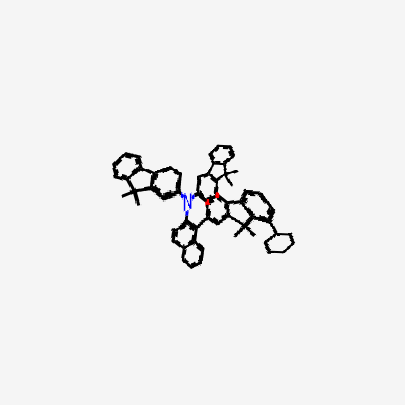 CC1(C)c2ccccc2-c2cc(N(c3ccc4c(c3)C(C)(C)c3ccccc3-4)c3ccc4ccccc4c3-c3ccc4c(c3)C(C)(C)c3c-4cccc3C3CCCCC3)ccc21